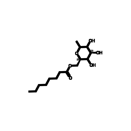 CCCCCCCC(=O)OC[C@H]1OC(C)C(O)[C@@H](O)C1O